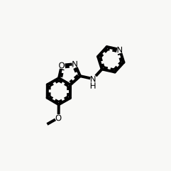 COc1ccc2onc(Nc3ccncc3)c2c1